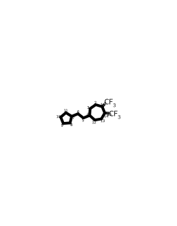 FC(F)(F)C1CCC(CCC2CCCC2)CCC1C(F)(F)F